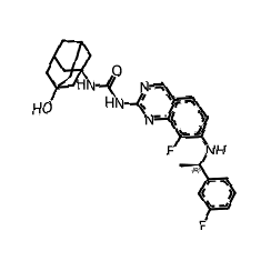 C[C@@H](Nc1ccc2cnc(NC(=O)NC34CC5CC(CC(O)(C5)C3)C4)nc2c1F)c1cccc(F)c1